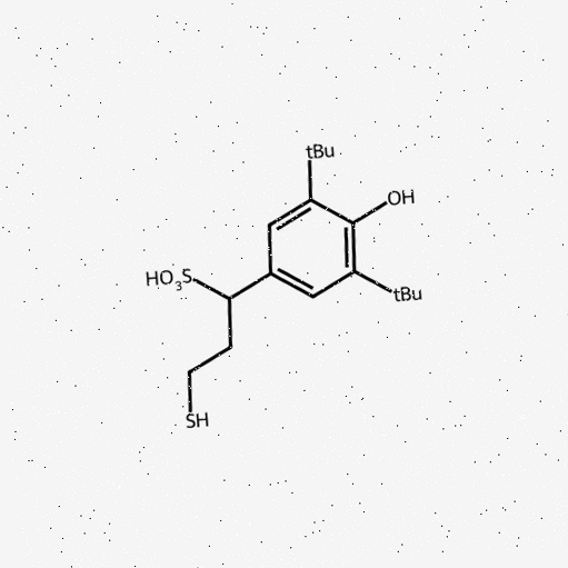 CC(C)(C)c1cc(C(CCS)S(=O)(=O)O)cc(C(C)(C)C)c1O